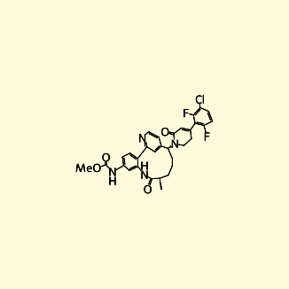 COC(=O)Nc1ccc2c(c1)NC(=O)[C@H](C)CCC[C@H](N1CCC(c3c(F)ccc(Cl)c3F)=CC1=O)c1ccnc-2c1